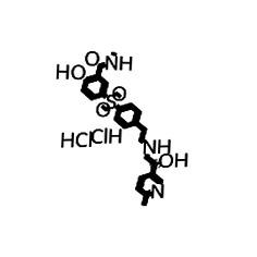 CNC(=O)c1cc(S(=O)(=O)c2ccc(CCNC[C@@H](O)c3ccc(C)nc3)cc2)ccc1O.Cl.Cl